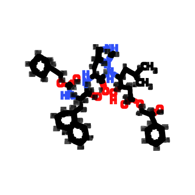 CC(C)CC(NC(=O)[C@H](Cc1c[nH]cn1)NC(=O)[C@H](Cc1cccc2ccccc12)NC(=O)OCc1ccccc1)C(O)CC(=O)OCC(=O)c1ccccc1